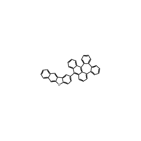 c1ccc2c(c1)-c1ccccc1-c1c3ccccc3c(-c3ccc4oc5cc6ccccc6cc5c4c3)c3cccc-2c13